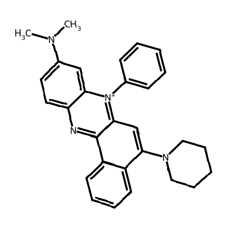 CN(C)c1ccc2nc3c4ccccc4c(N4CCCCC4)cc3[n+](-c3ccccc3)c2c1